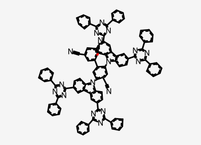 N#Cc1cc(C#N)cc(-c2cc(-n3c4ccc(-c5nc(-c6ccccc6)nc(-c6ccccc6)n5)cc4c4cc(-c5nc(-c6ccccc6)nc(-c6ccccc6)n5)ccc43)c(C#N)cc2-n2c3ccc(-c4nc(-c5ccccc5)nc(-c5ccccc5)n4)cc3c3cc(-c4nc(-c5ccccc5)nc(-c5ccccc5)n4)ccc32)c1